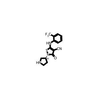 N#Cc1c(Nc2ccccc2C(F)(F)F)sn([C@@H]2CCNC2)c1=O